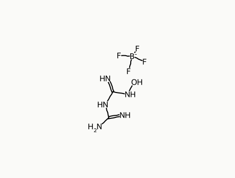 F[B-](F)(F)F.N=C(N)NC(=N)NO